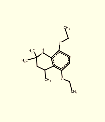 CCOc1ccc(OCC)c2c1NC(C)(C)CC2C